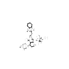 CN1CCN(c2ccnc3c2C(=O)N(CCc2nc4ccccc4n2C)C3)CC1.O=C(O)C(F)(F)F